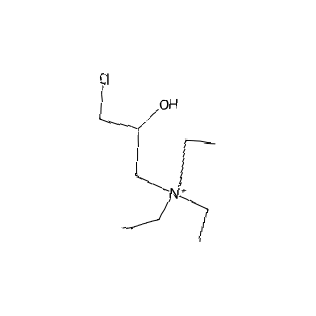 CC[N+](CC)(CC)CC(O)CCl